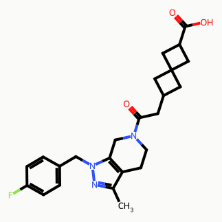 Cc1nn(Cc2ccc(F)cc2)c2c1CCN(C(=O)CC1CC3(C1)CC(C(=O)O)C3)C2